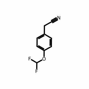 N#CCc1ccc(OC(F)F)cc1